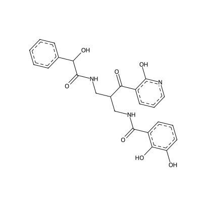 O=C(NCC(CNC(=O)C(O)c1ccccc1)C(=O)c1cccnc1O)c1cccc(O)c1O